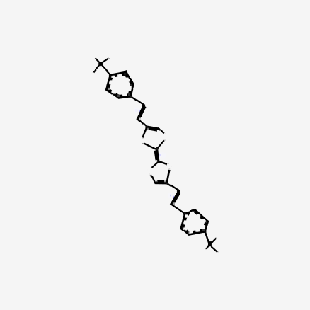 FC(F)(F)c1ccc(/C=C/C2=CS/C(=C3/SC=C(/C=C/c4ccc(C(F)(F)F)cc4)S3)S2)cc1